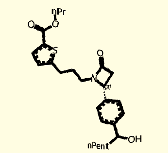 CCCCCC(O)c1ccc([C@H]2CC(=O)N2CCCc2ccc(C(=O)OCCC)s2)cc1